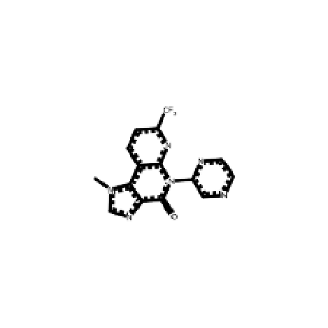 Cn1cnc2c(=O)n(-c3cnccn3)c3nc(C(F)(F)F)ccc3c21